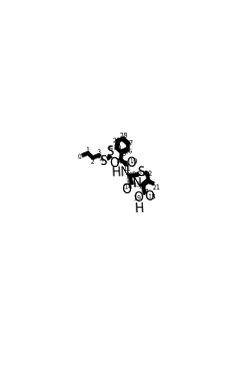 CCCCSC(=S)OC(C(=O)N[C@H]1C(=O)N2C(C(=O)O)=C(C)CSC12)c1ccccc1